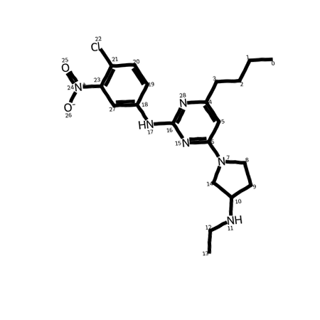 CCCCc1cc(N2CCC(NCC)C2)nc(Nc2ccc(Cl)c([N+](=O)[O-])c2)n1